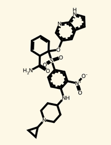 NC(=O)C1C=CC=CC1(Oc1cnc2[nH]ccc2c1)S(=O)(=O)c1ccc(NC2CCN(C3CC3)CC2)c([N+](=O)[O-])c1